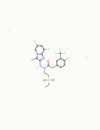 CCS(=O)(=O)CCN(C(=O)Cc1ccc(F)c(C(F)(F)F)c1)[C@H](C)c1nc2c(F)cc(F)cn2c1C